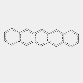 Cc1c2cc3ccccc3cc2cc2cc3ccccc3cc12